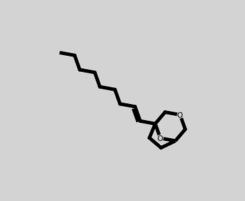 CCCCCCCC=CC12CCC(COC1)O2